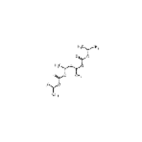 CC(C)OC(=O)OC(C)OC(C)OC(=O)OC(C)C